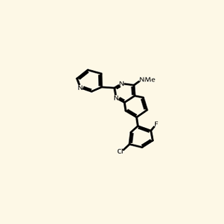 CNc1nc(-c2cccnc2)nc2cc(-c3cc(Cl)ccc3F)ccc12